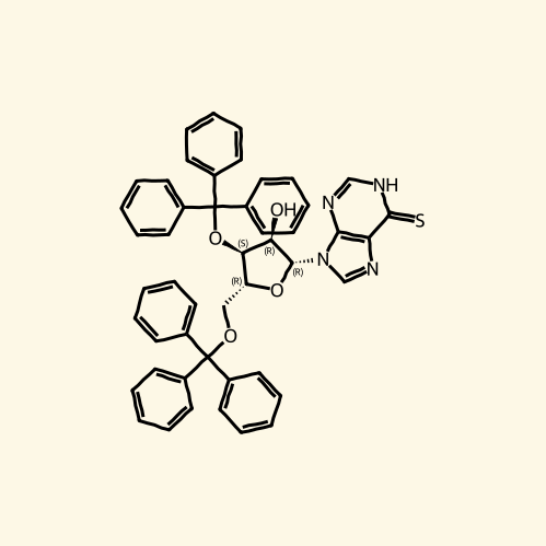 O[C@@H]1[C@H](OC(c2ccccc2)(c2ccccc2)c2ccccc2)[C@@H](COC(c2ccccc2)(c2ccccc2)c2ccccc2)O[C@H]1n1cnc2c(=S)[nH]cnc21